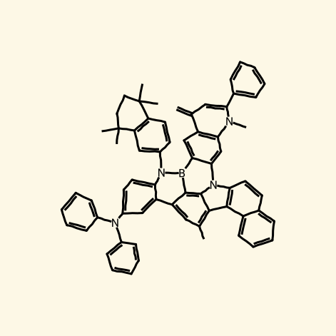 C=C1C=C(c2ccccc2)N(C)c2cc3c(cc21)B1c2c(cc(C)c4c5c6ccccc6ccc5n-3c24)-c2cc(N(c3ccccc3)c3ccccc3)ccc2N1c1ccc2c(c1)C(C)(C)CCC2(C)C